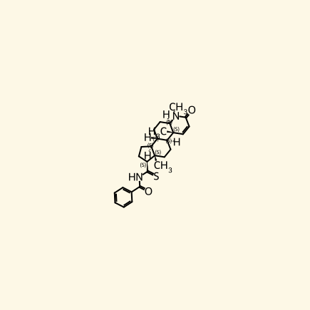 CN1C(=O)C=C[C@]2(C)[C@H]3CC[C@]4(C)[C@@H](C(=S)NC(=O)c5ccccc5)CC[C@H]4[C@@H]3CC[C@@H]12